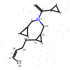 C=C(C1CC1)N(CC1CC1)CC1CC1CC/C=C\CC